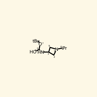 CC(C)N1CC(NC(O)OC(C)(C)C)C1